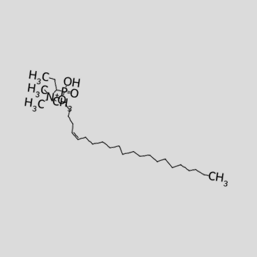 CCCCCCCCCCCCCCCCC/C=C\CCCOP(=O)(O)C(CC)[N+](C)(C)C